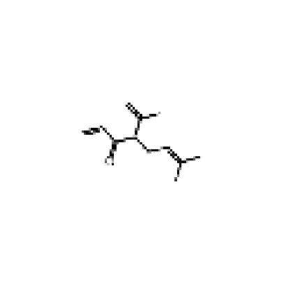 C=CC(=O)C(CC=C(C)C)C(=C)C